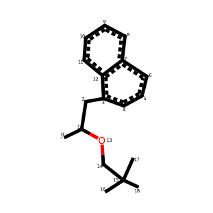 [CH2]C(Cc1cccc2ccccc12)OCC(C)(C)C